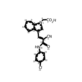 N#C/C(=C\c1cn(CC(=O)O)c2ccccc12)C(=O)Nc1ccc(Cl)cc1